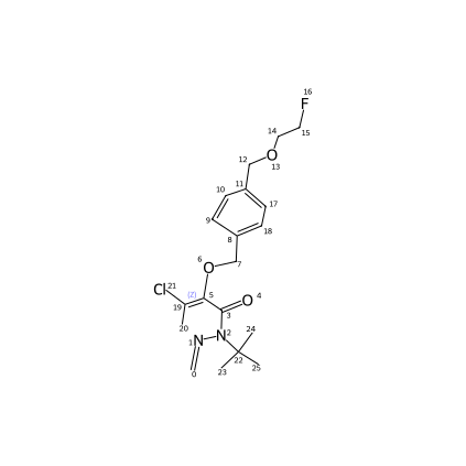 C=NN(C(=O)/C(OCc1ccc(COCCF)cc1)=C(\C)Cl)C(C)(C)C